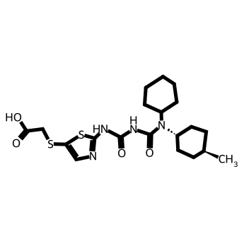 C[C@H]1CC[C@H](N(C(=O)NC(=O)Nc2ncc(SCC(=O)O)s2)C2CCCCC2)CC1